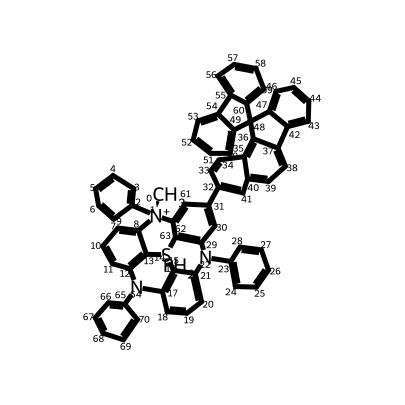 C[N@@+]1(c2ccccc2)c2cccc3c2S2(P)c4c(cccc4N(c4ccccc4)c4cc(-c5ccc6c7c(ccc6c5)-c5ccccc5C75c6ccccc6-c6ccccc65)cc1c42)N3c1ccccc1